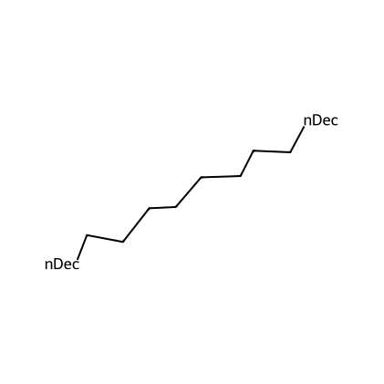 CCCCCC[CH]CCCCCCCCCCCCCCCCCCCCC